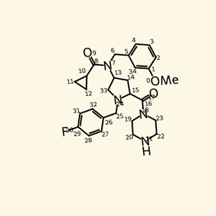 COc1cccc(CN(C(=O)C2CC2)C2CC(C(=O)N3CCNCC3)N(Cc3ccc(F)cc3)C2)c1